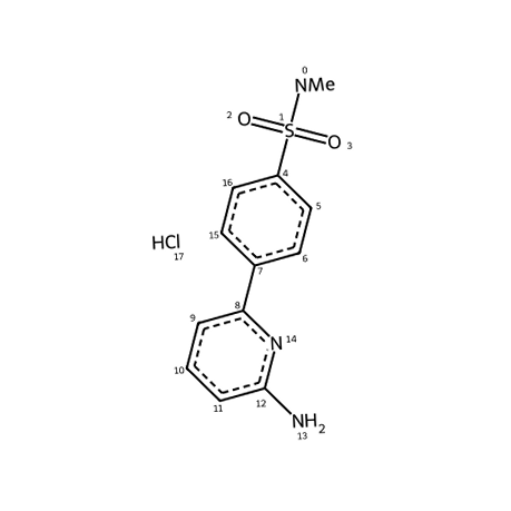 CNS(=O)(=O)c1ccc(-c2cccc(N)n2)cc1.Cl